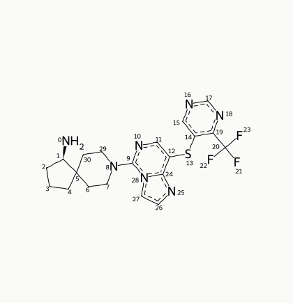 N[C@@H]1CCCC12CCN(c1ncc(Sc3cncnc3C(F)(F)F)c3nccn13)CC2